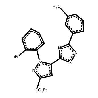 CCOC(=O)c1cc(-c2nc(-c3cccc(C)c3)ns2)n(-c2ccccc2C(C)C)n1